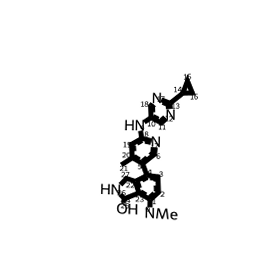 CNc1ccc(-c2cnc(Nc3cnc(C4CC4)nc3)cc2C)c2c1C(O)NC2